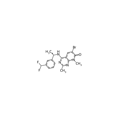 Cc1nc(N[C@H](C)c2cccc(C(F)F)c2)c2cc(Br)c(=O)n(C)c2n1